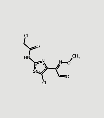 CON=C([C]=O)c1nc(NC(=O)CCl)sc1Cl